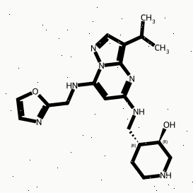 CC(C)c1cnn2c(NCc3ncco3)cc(NC[C@H]3CCNC[C@@H]3O)nc12